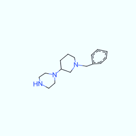 c1ccc(CN2CCCC(N3CCNCC3)C2)cc1